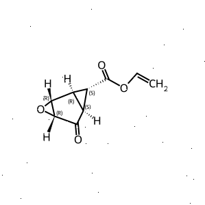 C=COC(=O)[C@@H]1[C@H]2C(=O)[C@@H]3O[C@@H]3[C@@H]12